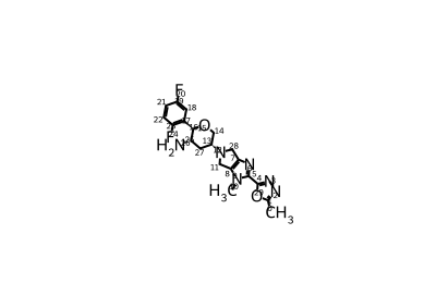 Cc1nnc(-c2nc3c(n2C)CN([C@H]2CO[C@H](c4cc(F)ccc4F)[C@@H](N)C2)C3)o1